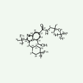 [2H]C([2H])([2H])OC(C)(C)CNC(=O)c1cc(CO)n2c(CC3CCC(F)(F)CC3)c(C(C)(F)F)nc2c1